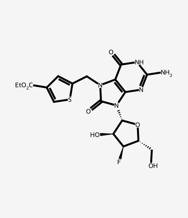 CCOC(=O)c1csc(Cn2c(=O)n([C@@H]3O[C@H](CO)[C@@H](F)[C@H]3O)c3nc(N)[nH]c(=O)c32)c1